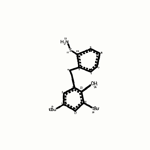 CC(C)(C)c1cc(Cc2ccccc2SN)c(O)c(C(C)(C)C)c1